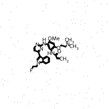 C=CC(=O)Nc1cc(Nc2nccc(-c3cn(CCF)c4ccccc34)n2)c(OC)cc1OCCN(C)C